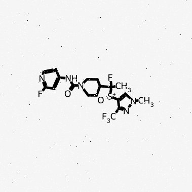 Cn1cc([S+]([O-])C(C)(F)C2CCN(C(=O)Nc3ccnc(F)c3)CC2)c(C(F)(F)F)n1